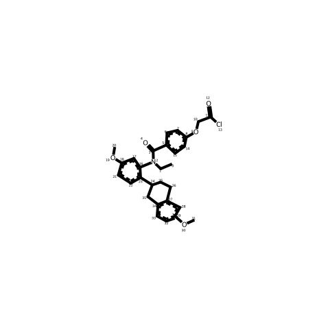 CCN(C(=O)c1ccc(OCC(=O)Cl)cc1)c1cc(OC)ccc1C1CCc2cc(OC)ccc2C1